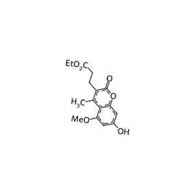 CCOC(=O)CCc1c(C)c2c(OC)cc(O)cc2oc1=O